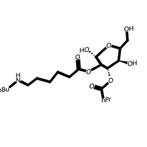 CCCCNCCCCCC(=O)OC1[C@H](O)OC(CO)[C@@H](O)[C@@H]1OC(=O)CCC